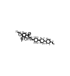 C=CC1CCC(C2CCC(C3CCC(CCCC(=O)c4ccc(OCC)c(CF)c4O)CC3)CC2)CC1